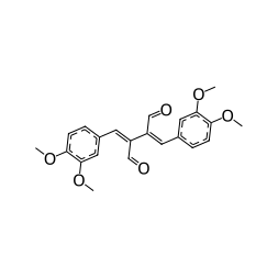 COc1ccc(C=C(C=O)C(C=O)=Cc2ccc(OC)c(OC)c2)cc1OC